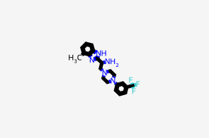 Cc1cccc2[nH]c(C(N)CN3CCN(c4cccc(C(F)(F)F)c4)CC3)nc12